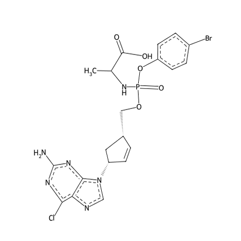 CC(NP(=O)(OC[C@@H]1C=C[C@H](n2cnc3c(Cl)nc(N)nc32)C1)Oc1ccc(Br)cc1)C(=O)O